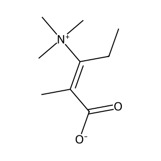 CC/C(=C(/C)C(=O)[O-])[N+](C)(C)C